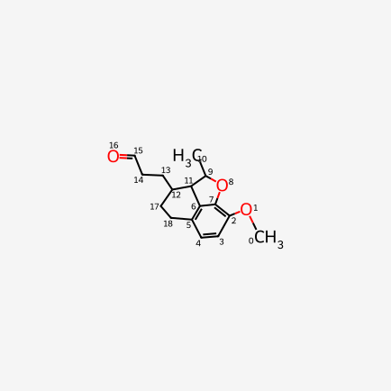 COc1ccc2c3c1OC(C)C3C(CCC=O)CC2